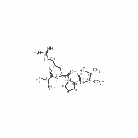 C[C@H](N)C(=O)N[C@@H](CCCNC(=N)N)C(=O)N1CCC[C@H]1C(=O)N[C@H](C(=O)O)[C@@H](C)O